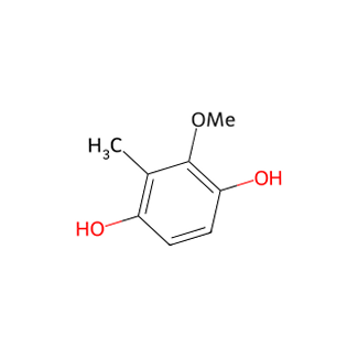 COc1c(O)ccc(O)c1C